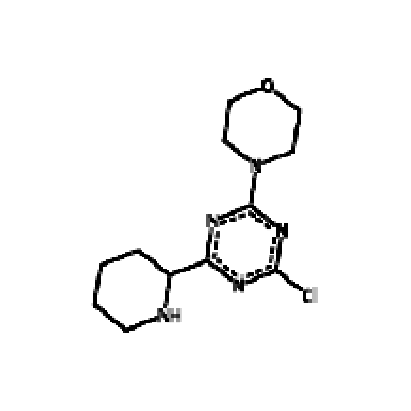 Clc1nc(C2CCCCN2)nc(N2CCOCC2)n1